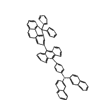 c1ccc(C2(c3ccccc3)c3cccc4ccc5cc(-c6c7ccccc7c(-c7ccc(N(c8ccc9ccccc9c8)c8ccc9ccccc9c8)cc7)c7ccccc67)cc2c5c34)cc1